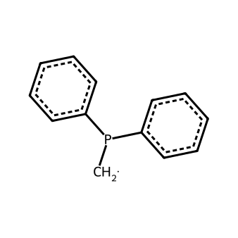 [CH2]P(c1ccccc1)c1ccccc1